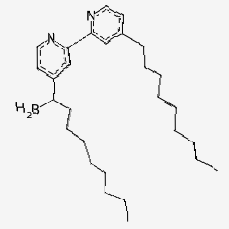 BC(CCCCCCCC)c1ccnc(-c2cc(CCCCCCCCC)ccn2)c1